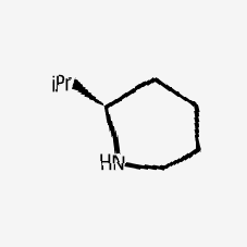 CC(C)[C@H]1CCCCN1